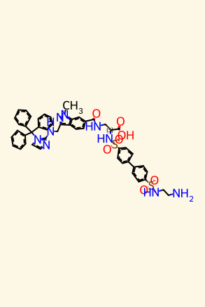 Cn1nc(CNc2nccn2C(c2ccccc2)(c2ccccc2)c2ccccc2)c2ccc(C(=O)NC[C@H](NS(=O)(=O)c3ccc(-c4ccc(S(=O)(=O)NCCN)cc4)cc3)C(=O)O)cc21